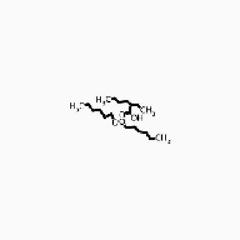 CCCCC(CC)C(=O)O.CCCCCCOOCCCCCC